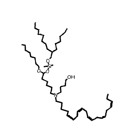 CC/C=C\C/C=C\C/C=C\C/C=C\C/C=C\CCCCN(CCCCO)CCCCCC(OCCCCCCCC)O[Si](C)(C)OCC(CCCCCC)CCCCCCCC